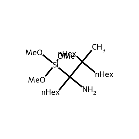 CCCCCCC(C)(CCCCCC)C(N)(CCCCCC)[Si](OC)(OC)OC